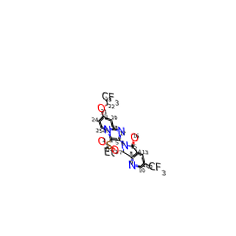 CCS(=O)(=O)c1c(N2Cc3ncc(C(F)(F)F)cc3C2=O)nc2cc(OCC(F)(F)F)ccn12